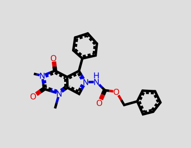 Cn1c(=O)c2c(-c3ccccc3)n(NC(=O)OCc3ccccc3)cc2n(C)c1=O